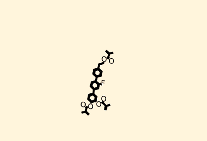 C=C(C)C(=O)OCCc1ccc(-c2ccc(-c3ccc(OC(=O)C(=C)C)c(OC(=O)C(=C)C)c3)cc2F)cc1